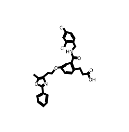 Cc1oc(-c2ccccc2)nc1CCOc1ccc(CCC(=O)O)c(C(=O)NCc2ccc(Cl)cc2Cl)c1